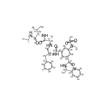 CCNC(=O)[C@@H](NC(=O)[C@H](C)NC[C@H](Cc1ccccc1)NC(=O)c1cc(C(=O)NC(C)c2ccccn2)cc(N(C)S(C)(=O)=O)c1)C(C)C